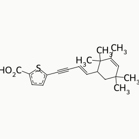 CC1=CC(C)(C)CC(C=CC#Cc2ccc(C(=O)O)s2)C1(C)C